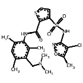 Cc1cc(C)c(NC(=O)c2sccc2S(=O)(=O)Nc2noc(C)c2Cl)c(C)c1CN(C)C